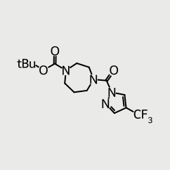 CC(C)(C)OC(=O)N1CCCN(C(=O)n2cc(C(F)(F)F)cn2)CC1